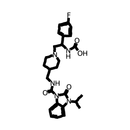 CC(C)n1c(=O)n(C(=O)NCC2CCN(CC(NC(=O)O)c3ccc(F)cc3)CC2)c2ccccc21